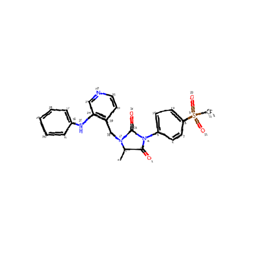 CC1C(=O)N(c2ccc(S(=O)(=O)C(F)(F)F)cc2)C(=O)N1Cc1ccncc1Nc1ccccc1